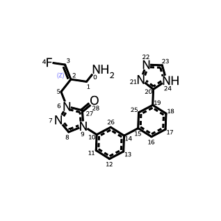 NC/C(=C/F)Cn1ncn(-c2cccc(-c3cccc(-c4nnc[nH]4)c3)c2)c1=O